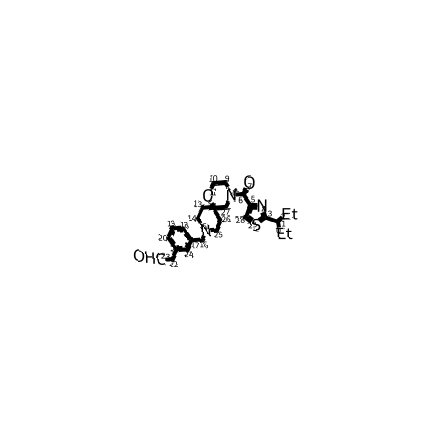 CCC(CC)c1nc(C(=O)N2CCOC3(CCN(Cc4cccc(CC=O)c4)CC3)C2)cs1